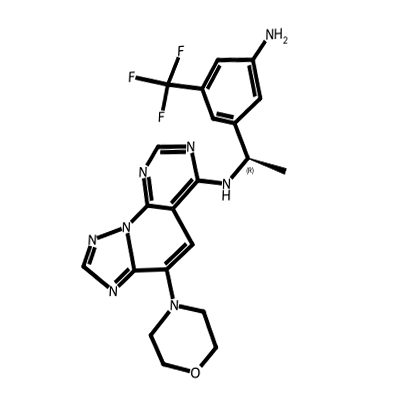 C[C@@H](Nc1ncnc2c1cc(N1CCOCC1)c1ncnn12)c1cc(N)cc(C(F)(F)F)c1